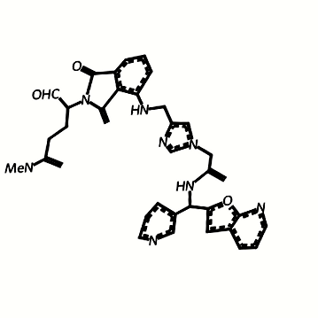 C=C(CCC(C=O)N1C(=C)c2c(NCc3cn(CC(=C)NC(c4cccnc4)c4cc5cccnc5o4)cn3)cccc2C1=O)NC